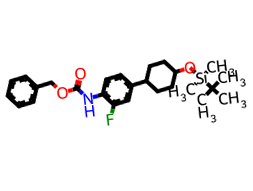 CC(C)(C)[Si](C)(C)OC1CCC(c2ccc(NC(=O)OCc3ccccc3)c(F)c2)CC1